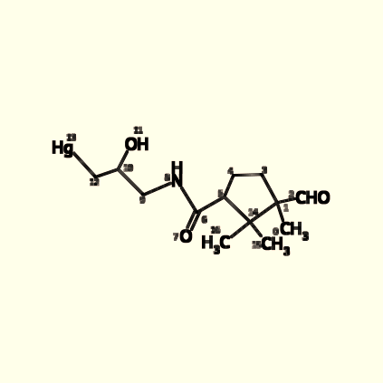 CC1(C=O)CCC(C(=O)NCC(O)[CH2][Hg])C1(C)C